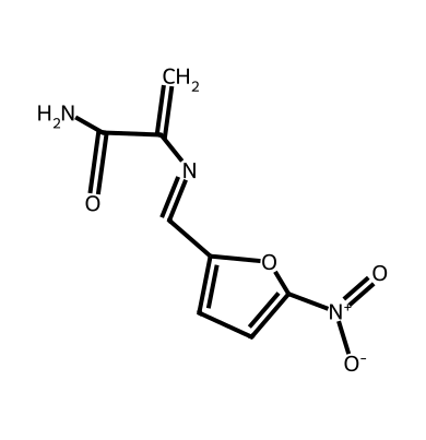 C=C(N=Cc1ccc([N+](=O)[O-])o1)C(N)=O